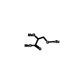 CCCCOCC(OC)C(=O)OC